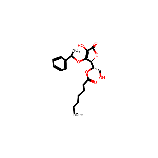 CCCCCCCCCCCCCCCC(=O)O[C@@H](CO)[C@H]1OC(=O)C(O)=C1OC(c1ccccc1)[N+](=O)[O-]